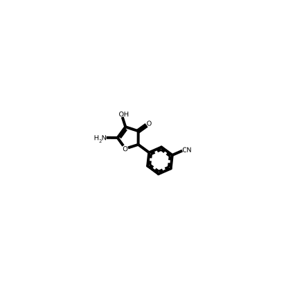 N#Cc1cccc(C2OC(N)=C(O)C2=O)c1